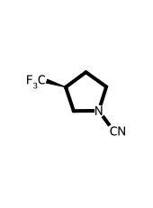 N#CN1CC[C@H](C(F)(F)F)C1